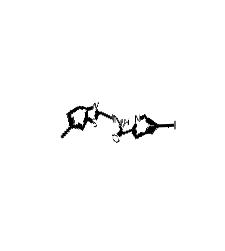 Cc1ccc2nc(NC(=O)c3ccc(I)cn3)sc2c1